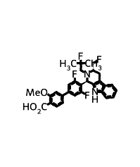 COc1cc(-c2cc(F)c([C@@H]3c4[nH]c5ccccc5c4C[C@@H](CF)N3CC(C)(C)F)c(F)c2)ccc1C(=O)O